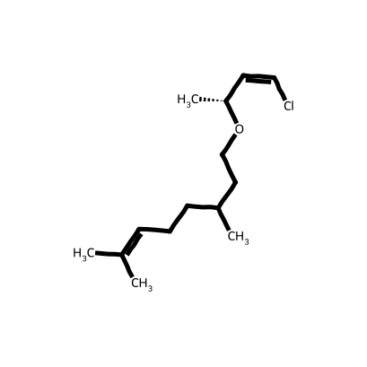 CC(C)=CCCC(C)CCO[C@H](C)/C=C\Cl